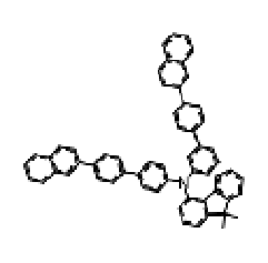 CC1(C)c2ccccc2-c2c(N(c3ccc(-c4ccc(-c5ccc6ccccc6c5)cc4)cc3)c3cccc(-c4ccc(-c5ccc6ccccc6c5)cc4)c3)cccc21